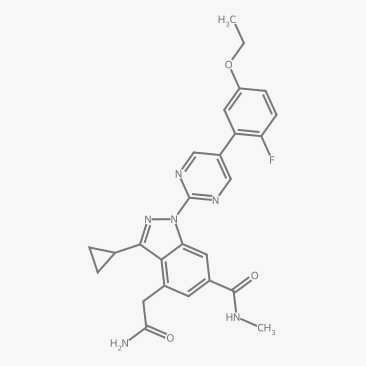 CCOc1ccc(F)c(-c2cnc(-n3nc(C4CC4)c4c(CC(N)=O)cc(C(=O)NC)cc43)nc2)c1